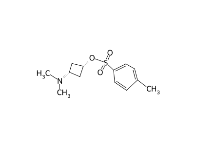 Cc1ccc(S(=O)(=O)O[C@H]2C[C@@H](N(C)C)C2)cc1